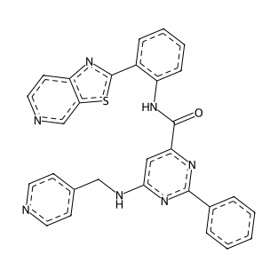 O=C(Nc1ccccc1-c1nc2ccncc2s1)c1cc(NCc2ccncc2)nc(-c2ccccc2)n1